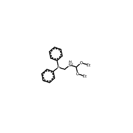 CCOC(OCC)[SiH2]CP(c1ccccc1)c1ccccc1